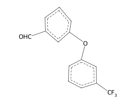 O=Cc1cccc(Oc2cccc(C(F)(F)F)c2)c1